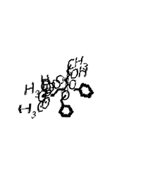 CC[C@@H](O)[C@@H](C)[C@H](OCc1ccccc1)[C@@H](OCc1ccccc1)C(O)CP(=O)(OC)OC